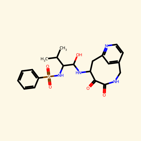 CC(C)C(NS(=O)(=O)c1ccccc1)C(O)NC1Cc2cc(ccn2)CNC(=O)C1=O